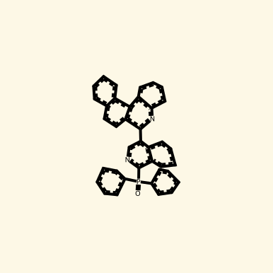 O=P(c1ccccc1)(c1ccccc1)c1ncc(-c2nc3ccccc3c3c2ccc2ccccc23)c2ccccc12